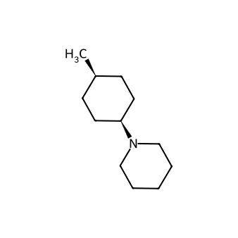 C[C@H]1CC[C@@H](N2CCCCC2)CC1